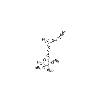 CCCCOC1[C@H](OCCCC)C(O)OC(COCCSCC(C)CSCCN=[N+]=[N-])[C@@H]1OCCCC